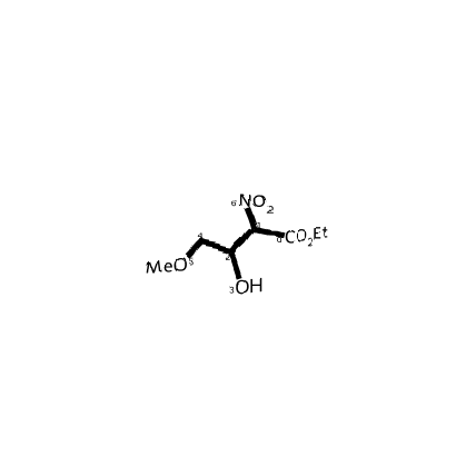 CCOC(=O)C(C(O)COC)[N+](=O)[O-]